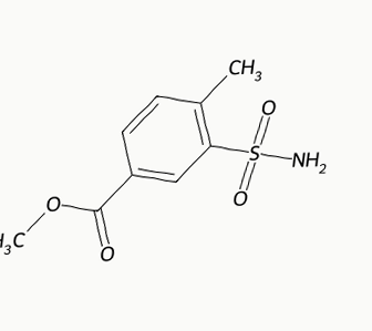 COC(=O)c1ccc(C)c(S(N)(=O)=O)c1